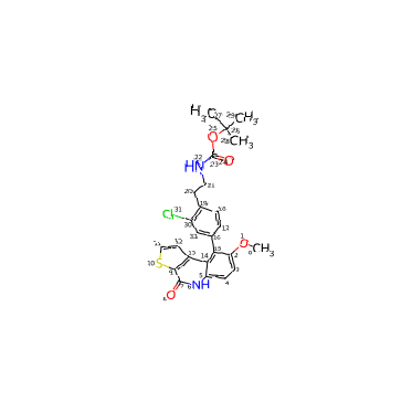 COc1ccc2[nH]c(=O)c3sccc3c2c1-c1ccc(CCNC(=O)OC(C)(C)C)c(Cl)c1